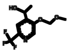 COCOc1cnc(C(F)(F)F)cc1C(C)O